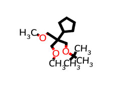 COCC(COC)(COC(C)(C)C)C1CCCC1